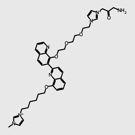 Cn1cc[n+](CCCCCCOc2cccc3ccc(-c4ccc5cccnc5c4OCCOCCOCCn4cc[n+](CC(=O)CN)c4)nc23)c1